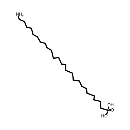 NCCCCCCCCCCCCCCCCCCCCCCCCCP(=O)(O)O